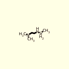 C[SiH2]NCCN(C)C